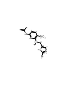 C=C(C)Oc1ccc([N+](=O)[O-])c(N(C)Cc2cnc(Br)s2)n1